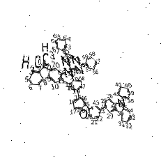 CC1(C)c2ccccc2-c2cc3c4cc(-c5ccc6oc7ccc(-c8ccc9c(c8)c8ccccc8n9-c8ccccc8)cc7c6c5)ccc4n(-c4nc(-c5ccccc5)nc(-c5ccccc5)n4)c3cc21